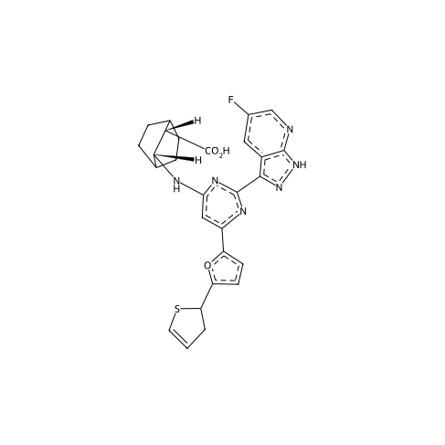 O=C(O)[C@H]1C2CCC(CC2)[C@H]1Nc1cc(-c2ccc(C3CC=CS3)o2)nc(-c2n[nH]c3ncc(F)cc23)n1